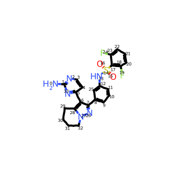 Nc1nccc(-c2c(-c3cccc(NS(=O)(=O)c4c(F)cccc4F)c3)nn3c2CCCC3)n1